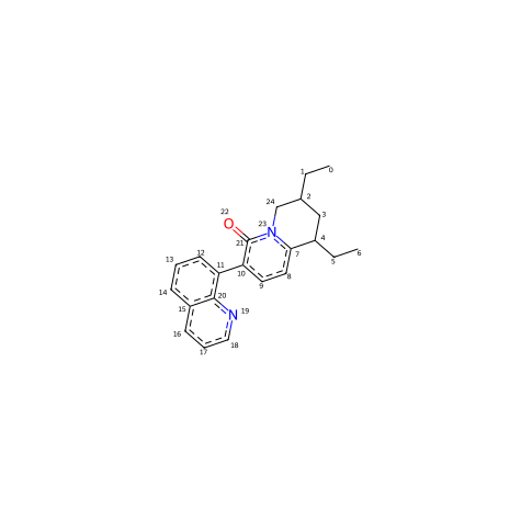 CCC1CC(CC)c2ccc(-c3cccc4cccnc34)c(=O)n2C1